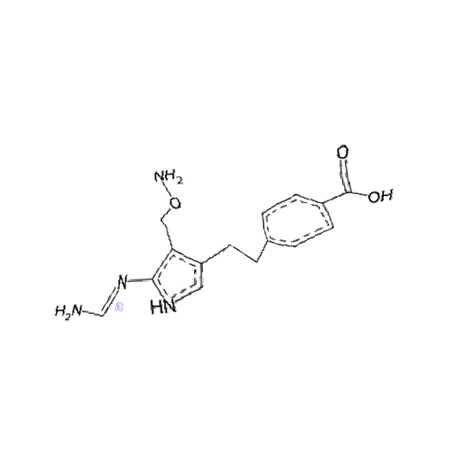 N/C=N/c1[nH]cc(CCc2ccc(C(=O)O)cc2)c1CON